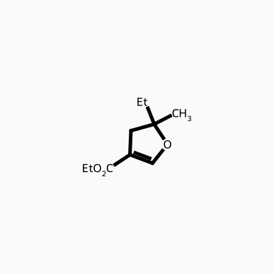 CCOC(=O)C1=COC(C)(CC)C1